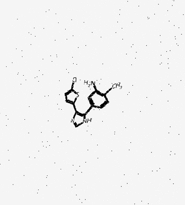 Cc1ccc(-c2[nH]cnc2-c2ccc(Cl)s2)cc1N